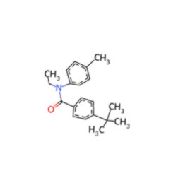 CCN(C(=O)c1ccc(C(C)(C)C)cc1)c1ccc(C)cc1